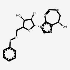 O[C@@H]1[C@H](O)C(COSc2ccccc2)O[C@H]1n1cnc2c1N=CNC[C@H]2O